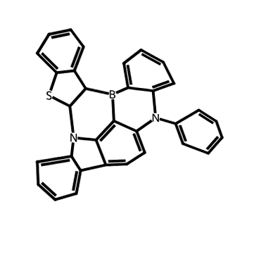 c1ccc(N2c3ccccc3B3c4c2ccc2c5ccccc5n(c42)C2Sc4ccccc4C32)cc1